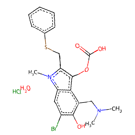 CN(C)Cc1c(O)c(Br)cc2c1c(OC(=O)O)c(CSc1ccccc1)n2C.Cl.O